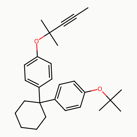 CC#CC(C)(C)Oc1ccc(C2(c3ccc(OC(C)(C)C)cc3)CCCCC2)cc1